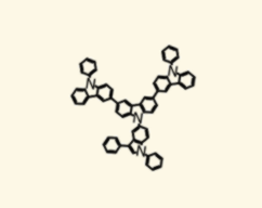 c1ccc(-c2cn(-c3ccccc3)c3ccc(-n4c5ccc(-c6ccc7c(c6)c6ccccc6n7-c6ccccc6)cc5c5cc(-c6ccc7c(c6)c6ccccc6n7-c6ccccc6)ccc54)cc23)cc1